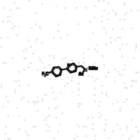 CN[C@@H](Cc1ccc(-c2ccc(C(F)(F)F)cc2)nc1)C(C)=O